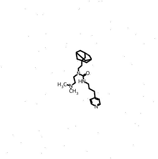 CN(C)CCN(CCC12CC3CC(CC(C3)C1)C2)C(=O)NCCCc1ccncc1